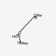 COC(=O)CCCCCCCCCCCCCCCOC[C@H](CO)OCCCCC(=O)OC